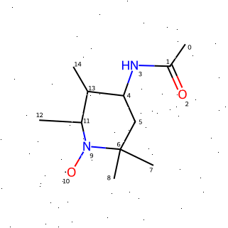 CC(=O)NC1CC(C)(C)N([O])C(C)C1C